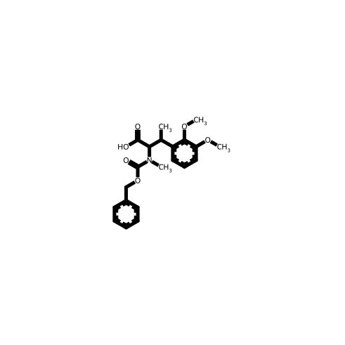 COc1cccc(C(C)C(C(=O)O)N(C)C(=O)OCc2ccccc2)c1OC